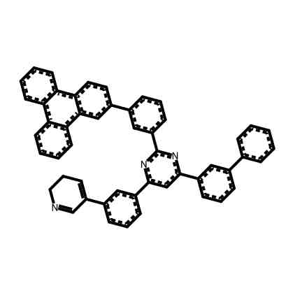 C1=NCCC=C1c1cccc(-c2cc(-c3cccc(-c4ccccc4)c3)nc(-c3cccc(-c4ccc5c6ccccc6c6ccccc6c5c4)c3)n2)c1